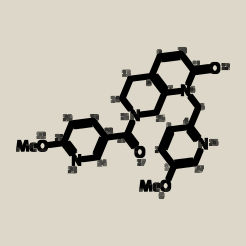 COc1ccc(Cn2c3c(ccc2=O)CCN(C(=O)c2ccc(OC)nc2)C3)nc1